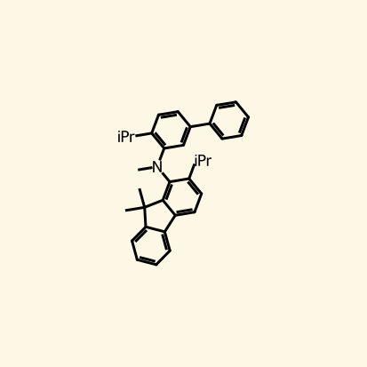 CC(C)c1ccc(-c2ccccc2)cc1N(C)c1c(C(C)C)ccc2c1C(C)(C)c1ccccc1-2